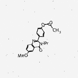 COc1ccc2nc(-c3ccc(OC4OC4C)cc3)n(C(C)C)c(=O)c2c1